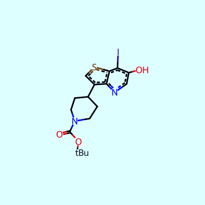 CC(C)(C)OC(=O)N1CCC(c2csc3c(I)c(O)cnc23)CC1